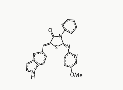 COc1ccc(/N=C2\S/C(=C\c3ccc4[nH]ccc4c3)C(=O)N2c2ccccc2)nc1